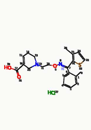 Cc1ccccc1/C(=N\OCCN1CCC=C(C(=O)O)C1)c1sccc1C.Cl